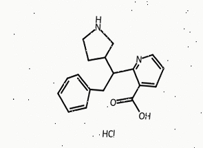 Cl.O=C(O)c1cccnc1C(Cc1ccccc1)C1CCNC1